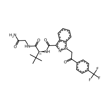 CC(C)(C)[C@H](NC(=O)c1nn(CC(=O)c2ccc(C(F)(F)F)cc2)c2ccccc12)C(=O)NCC(N)=O